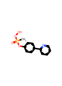 CP(=O)(OO)Oc1ccc(-c2ccccn2)cc1